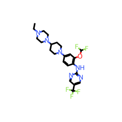 CCN1CCN(C2CCN(c3ccc(Nc4ncc(C(F)(F)F)cn4)c(OC(F)F)c3)CC2)CC1